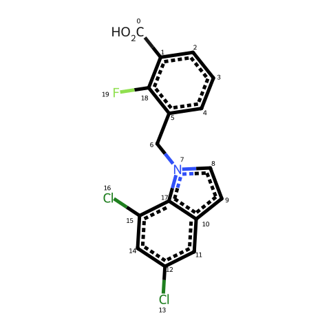 O=C(O)c1cccc(Cn2ccc3cc(Cl)cc(Cl)c32)c1F